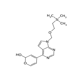 C[Si](C)(C)CCOCn1ccc2c(C3=CC(O)OC=C3)ncnc21